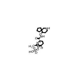 CC1N2C[C@H](CC[C@H]2C(=O)NOC2CCNCC23CCCC3)N1OS(=O)(=O)O